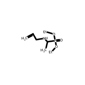 C=CCNC(C)P(=O)(OCC)OCC